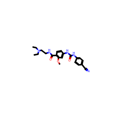 CCN(CC)CCNC(=O)c1ccc(NC(=O)Nc2ccc(C#N)cc2)cc1OC